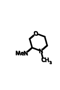 CNC1COCCN1C